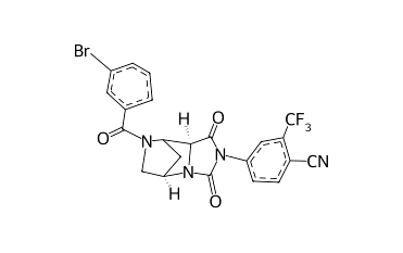 N#Cc1ccc(N2C(=O)[C@@H]3C4C[C@H](CN4C(=O)c4cccc(Br)c4)N3C2=O)cc1C(F)(F)F